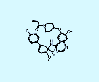 C=CC(=O)N1CCC(Oc2cc3c(NC4(C(F)F)CC(c5ccc(F)cc5)=CC=C4OC)ncnc3cc2OC)CC1